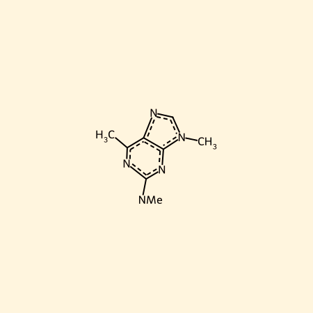 CNc1nc(C)c2ncn(C)c2n1